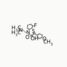 COc1ccc([C@@H]2Sc3c(F)cccc3N(CCN(C)C)C(=O)[C@@H]2O)cc1